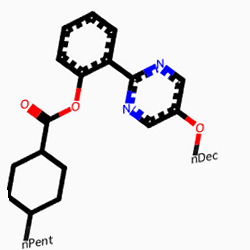 CCCCCCCCCCOc1cnc(-c2ccccc2OC(=O)C2CCC(CCCCC)CC2)nc1